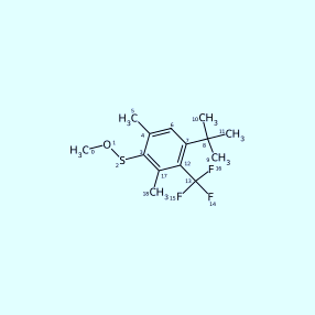 COSc1c(C)cc(C(C)(C)C)c(C(F)(F)F)c1C